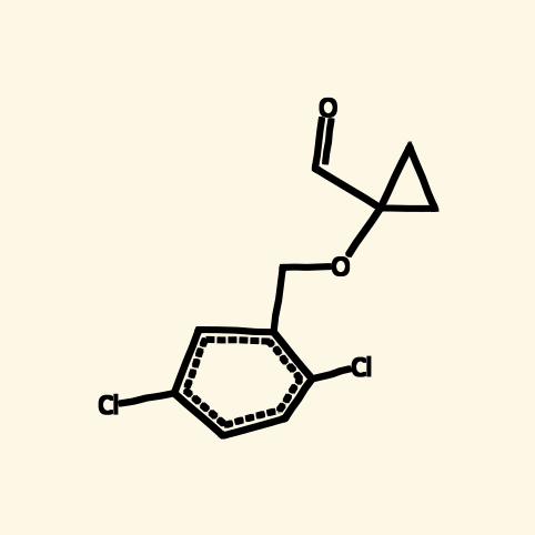 O=CC1(OCc2cc(Cl)ccc2Cl)CC1